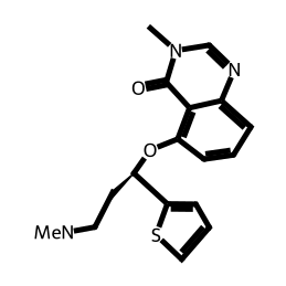 CNCC[C@@H](Oc1cccc2ncn(C)c(=O)c12)c1cccs1